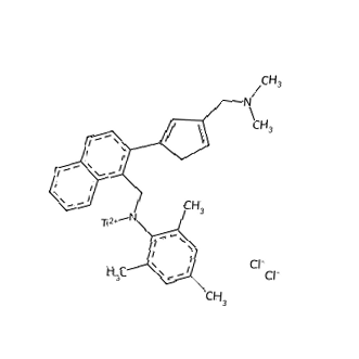 Cc1cc(C)c([N]([Ti+2])Cc2c(C3=CC(CN(C)C)=CC3)ccc3ccccc23)c(C)c1.[Cl-].[Cl-]